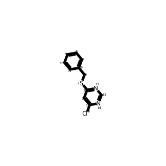 Clc1cc(SCc2ccccc2)ncn1